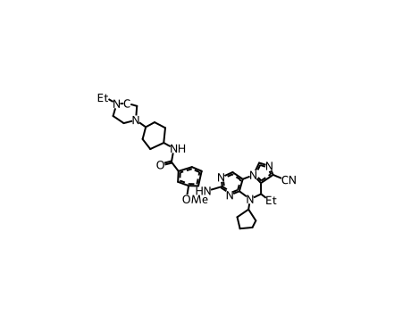 CCC1c2c(C#N)ncn2-c2cnc(Nc3ccc(C(=O)NC4CCC(N5CCN(CC)CC5)CC4)cc3OC)nc2N1C1CCCC1